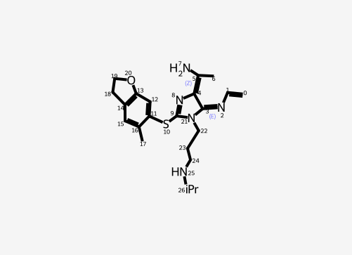 C=C/N=C1\C(=C(/C)N)N=C(Sc2cc3c(cc2C)CCO3)N1CCCNC(C)C